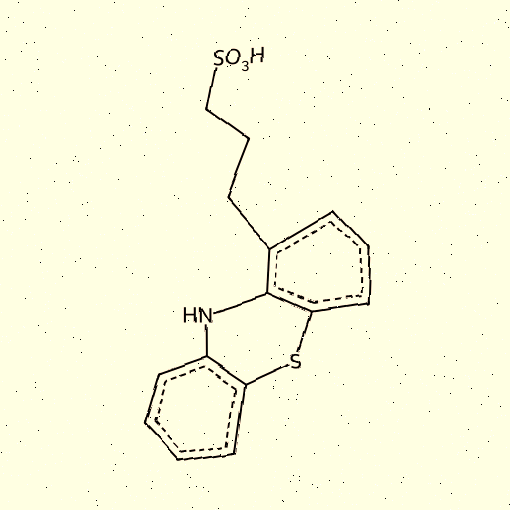 O=S(=O)(O)CCCc1cccc2c1Nc1ccccc1S2